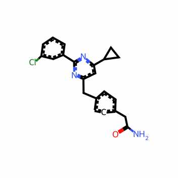 NC(=O)Cc1ccc(Cc2cc(C3CC3)nc(-c3cccc(Cl)c3)n2)cc1